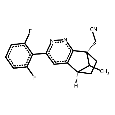 CC1[C@H]2CC[C@]1(CC#N)c1nnc(-c3c(F)cccc3F)cc12